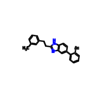 CC(=O)c1ccccc1-c1ccc2[nH]c(CCc3cccc(C)c3)nc2c1